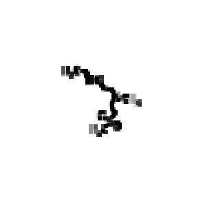 C/C=N/OCCN(C)CCS(C)(=O)=O